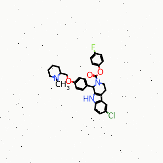 CN1CCCCC1COc1ccc(C2c3[nH]c4ccc(Cl)cc4c3CCN2C(=O)Oc2ccc(F)cc2)cc1